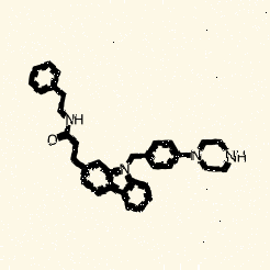 O=C(CCc1ccc2c3ccccc3n(Cc3ccc(N4CCNCC4)cc3)c2c1)NCCc1ccccc1